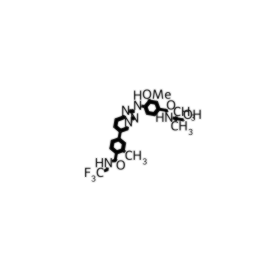 COc1cc(C(=O)NC(C)(C)CO)ccc1Nc1nc2ccc(-c3ccc(C(=O)NCC(F)(F)F)c(C)c3)cn2n1